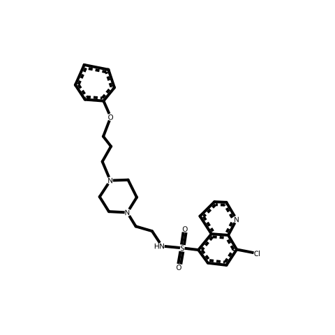 O=S(=O)(NCCN1CCN(CCCOc2ccccc2)CC1)c1ccc(Cl)c2ncccc12